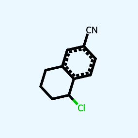 N#Cc1ccc2c(c1)CCCC2Cl